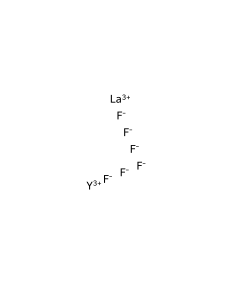 [F-].[F-].[F-].[F-].[F-].[F-].[La+3].[Y+3]